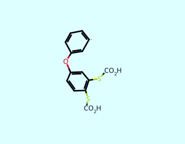 O=C(O)Sc1ccc(Oc2c[c]ccc2)cc1SC(=O)O